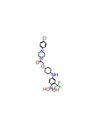 O=C(COC1CCC(Nc2ccc(N(O)O)c(C(F)(F)F)c2)CC1)N1CCN(c2ccc(Cl)cc2)CC1